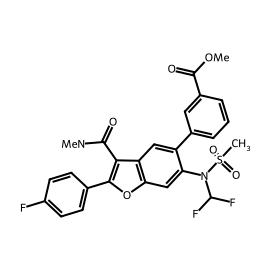 CNC(=O)c1c(-c2ccc(F)cc2)oc2cc(N(C(F)F)S(C)(=O)=O)c(-c3cccc(C(=O)OC)c3)cc12